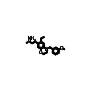 CCc1cc2c(cc1CCN(C)N)OCCN2Cc1cccc(OC)c1